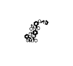 Cn1c(=O)n(-c2ccc(C[C@H](NC(=O)c3c(Cl)cccc3Cl)C(=O)O)cc2)c(=O)c2cc(OCCN3CCCC3)ccc21